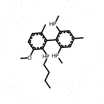 CCCCPc1c(OC)ccc(C)c1-c1c(PC)cc(C)cc1PC